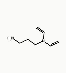 C=CN(C=C)CCCN